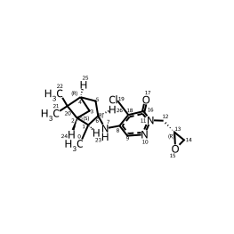 C[C@H]1[C@H]2C[C@H](C[C@H]1Nc1cnn(C[C@@H]3CO3)c(=O)c1Cl)C2(C)C